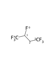 FC(CC(F)(F)F)C(F)(F)F